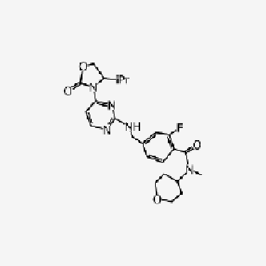 CC(C)C1COC(=O)N1c1ccnc(NCc2ccc(C(=O)N(C)C3CCOCC3)c(F)c2)n1